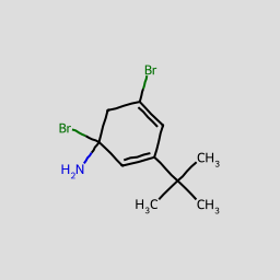 CC(C)(C)C1=CC(N)(Br)CC(Br)=C1